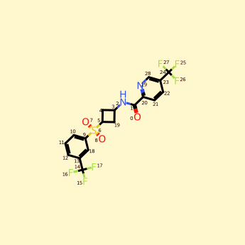 O=C(NC1CC(S(=O)(=O)c2cccc(C(F)(F)F)c2)C1)c1ccc(C(F)(F)F)cn1